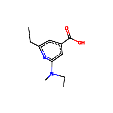 CCc1cc(C(=O)O)cc(N(C)CC)n1